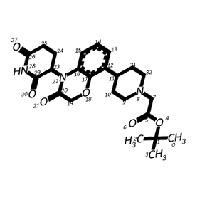 CC(C)(C)OC(=O)CN1CCC(c2cccc3c2OCC(=O)N3C2CCC(=O)NC2=O)CC1